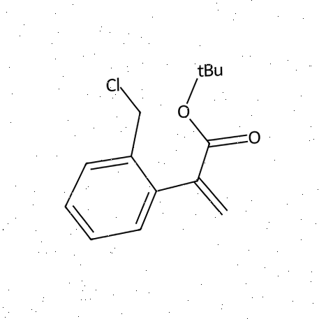 C=C(C(=O)OC(C)(C)C)c1ccccc1CCl